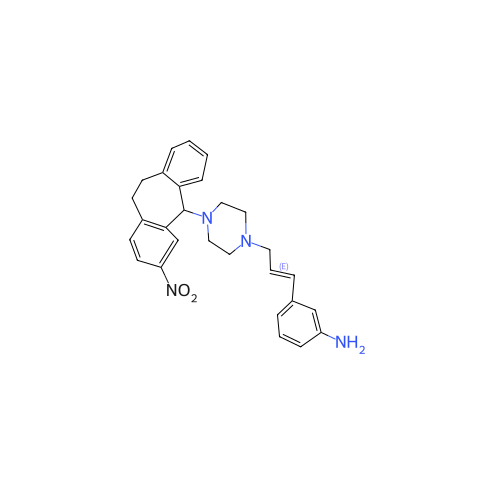 Nc1cccc(/C=C/CN2CCN(C3c4ccccc4CCc4ccc([N+](=O)[O-])cc43)CC2)c1